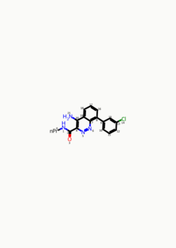 CCCNC(=O)c1nnc2c(-c3cccc(Cl)c3)cccc2c1N